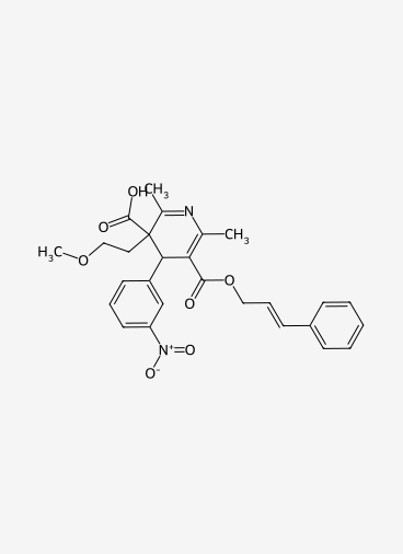 COCCC1(C(=O)O)C(C)=NC(C)=C(C(=O)OCC=Cc2ccccc2)C1c1cccc([N+](=O)[O-])c1